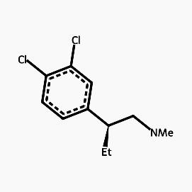 [CH2]C[C@H](CNC)c1ccc(Cl)c(Cl)c1